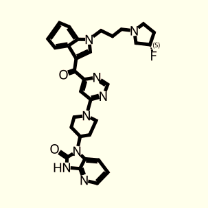 O=C(c1cc(N2CCC(n3c(=O)[nH]c4ncccc43)CC2)ncn1)c1cn(CCCN2CC[C@H](F)C2)c2ccccc12